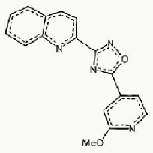 COc1cc(-c2nc(-c3ccc4ccccc4n3)no2)ccn1